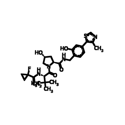 C=C(N[C@H](C(=O)N1C[C@H](O)C[C@H]1C(=O)NCc1ccc(-c2scnc2C)cc1O)C(C)(C)C)C1(F)CC1